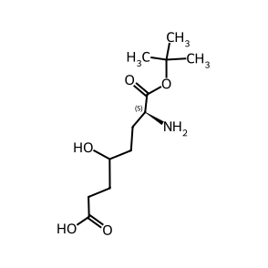 CC(C)(C)OC(=O)[C@@H](N)CCC(O)CCC(=O)O